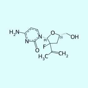 C=C(C)C1(F)C[C@@H](CO)O[C@H]1n1ccc(N)nc1=O